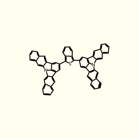 c1ccc2cc3c4cc(-c5sc(-c6cc7c8cc9ccccc9cc8n8c9cc%10ccccc%10cc9c(c6)c78)c6ccccc56)cc5c6cc7ccccc7cc6n(c3cc2c#1)c45